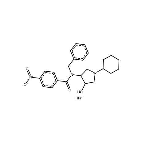 Br.O=C(c1ccc([N+](=O)[O-])cc1)N(Cc1ccccc1)C1CN(C2CCCCC2)CC1O